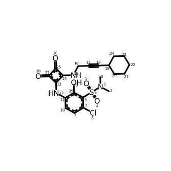 CN(C)S(=O)(=O)c1c(Cl)ccc(Nc2c(NCC#CC3CCCCC3)c(=O)c2=O)c1O